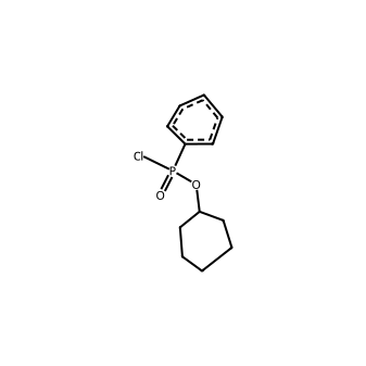 O=P(Cl)(OC1CCCCC1)c1ccccc1